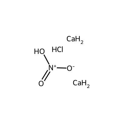 Cl.O=[N+]([O-])O.[CaH2].[CaH2]